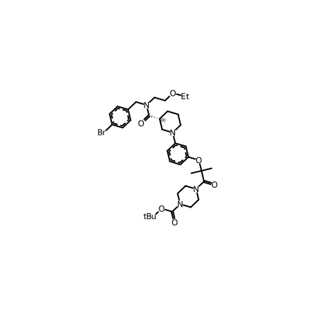 CCOCCN(Cc1ccc(Br)cc1)C(=O)[C@@H]1CCCN(c2cccc(OC(C)(C)C(=O)N3CCN(C(=O)OC(C)(C)C)CC3)c2)C1